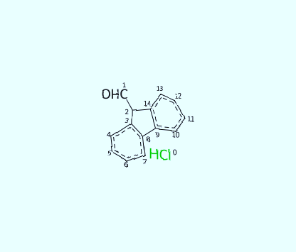 Cl.O=CC1c2ccccc2-c2ccccc21